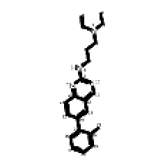 CCN(CC)CCCNc1ncc2cc(-c3ccccc3C)ccc2n1